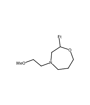 CCC1CN(CCOC)CCCO1